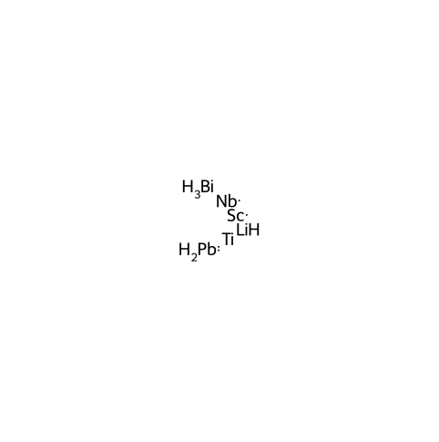 [BiH3].[LiH].[Nb].[PbH2].[Sc].[Ti]